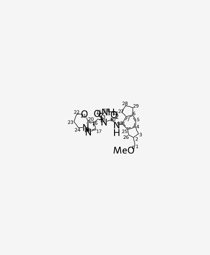 COCC1Cc2cc3c(c(NC(=O)N=S(N)(=O)c4cnn5c4OCCC5)c2C1)CCC3